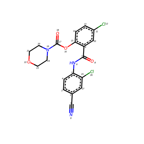 N#Cc1ccc(NC(=O)c2cc(Cl)ccc2OC(=O)N2CCOCC2)c(Cl)c1